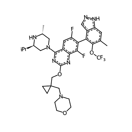 Cc1cc2[nH]ncc2c(-c2c(F)cc3c(N4C[C@@H](C)N[C@H](C(C)C)C4)nc(OCC4(CN5CCOCC5)CC4)nc3c2F)c1OC(F)(F)F